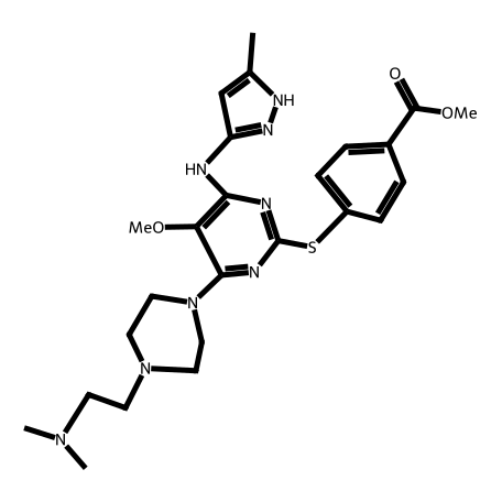 COC(=O)c1ccc(Sc2nc(Nc3cc(C)[nH]n3)c(OC)c(N3CCN(CCN(C)C)CC3)n2)cc1